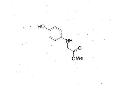 [CH2]OC(=O)CNc1ccc(O)cc1